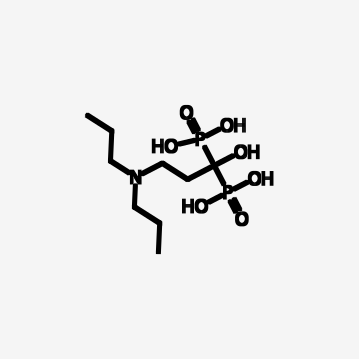 CCCN(CCC)CCC(O)(P(=O)(O)O)P(=O)(O)O